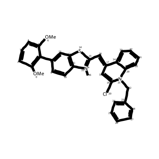 COc1cccc(OC)c1-c1ccc2c(c1)sc(C=C1C=C(Cl)N(Cc3ccccc3)c3ccccc31)[n+]2C